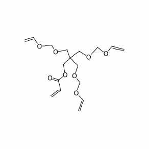 C=COCOCC(COCOC=C)(COCOC=C)COC(=O)C=C